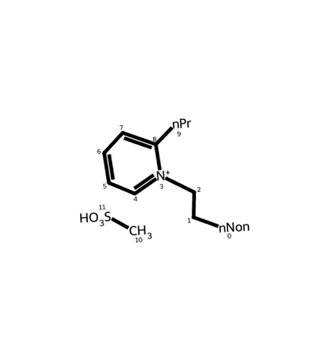 CCCCCCCCCCC[n+]1ccccc1CCC.CS(=O)(=O)O